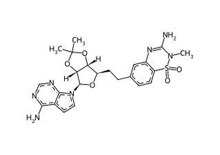 CN1C(N)=Nc2cc(CC[C@H]3O[C@@H](n4ccc5c(N)ncnc54)[C@@H]4OC(C)(C)O[C@@H]43)ccc2S1(=O)=O